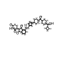 O=C1CCC(N2C(=O)c3cccc(NCc4cnn(C5CCN(C(=O)C6CCN(C(O)C7CCC7)CC6)CC5)c4)c3C2=O)C(=O)N1